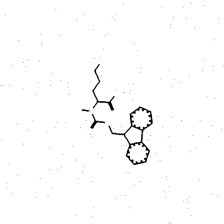 CCCCC(C(=O)O)N(C)C(=O)OCC1c2ccccc2-c2ccccc21